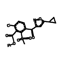 CC(C)OC(=O)c1c(Cl)ccc(C(=O)c2cc(C3CC3)on2)c1S(C)(=O)=O